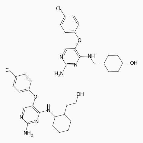 Nc1ncc(Oc2ccc(Cl)cc2)c(NC2CCCCC2CCO)n1.Nc1ncc(Oc2ccc(Cl)cc2)c(NCC2CCC(O)CC2)n1